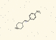 O=[N+]([O-])c1ccc(/C=C/C2CCNCC2)cc1